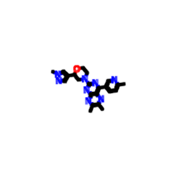 Cc1ccc(-c2nc(N3CCOC(c4cnn(C)c4)C3)nc3nc(C)c(C)nc23)cn1